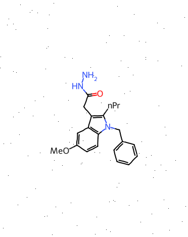 CCCc1c(CC(=O)NN)c2cc(OC)ccc2n1Cc1ccccc1